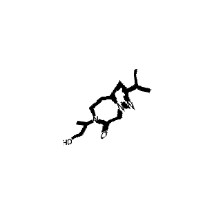 CC(C)c1cc2n(n1)CC(=O)N(C(C)CO)CC2